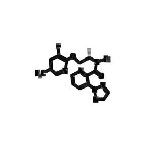 CCN(C(=O)c1ncccc1-n1nccn1)[C@@H](C)COc1ncc(C(F)(F)F)cc1F